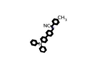 Cc1ccc(/C(C#N)=C/c2ccc(-c3ccc(N(C4=CCCC=C4)c4ccccc4)cc3)cc2)cc1